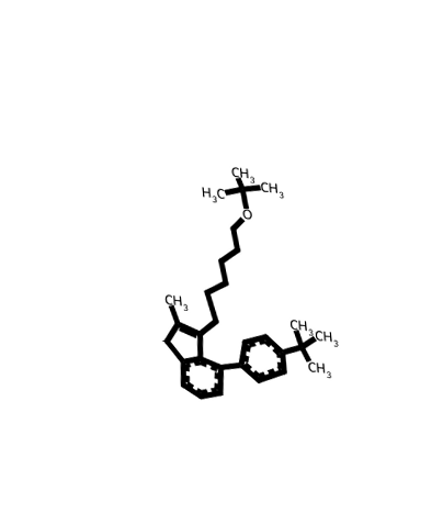 CC1=C(CCCCCCOC(C)(C)C)c2c(cccc2-c2ccc(C(C)(C)C)cc2)[CH]1